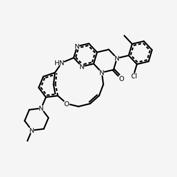 Cc1cccc(Cl)c1N1Cc2cnc3nc2N(C/C=C\COc2cc(ccc2N2CCN(C)CC2)N3)C1=O